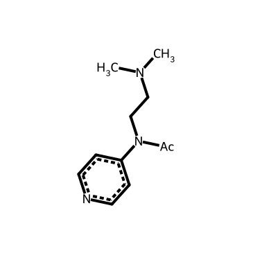 CC(=O)N(CCN(C)C)c1ccncc1